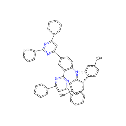 CC(C)(C)c1ccc2c3ccc(C(C)(C)C)cc3n(-c3ccc(-c4cc(-c5ccccc5)nc(-c5ccccc5)n4)cc3-c3nc(-c4ccccc4)cc(-c4ccccc4)n3)c2c1